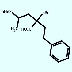 CCCCCCC(C)CC(CCCC)(CCc1ccccc1)C(=O)O